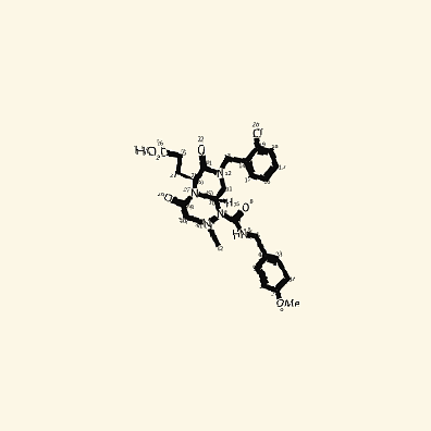 COc1ccc(CNC(=O)N2[C@H]3CN(Cc4ccccc4Cl)C(=O)[C@H](CCC(=O)O)N3C(=O)CN2C)cc1